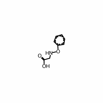 O=C(O)CNOc1ccccc1